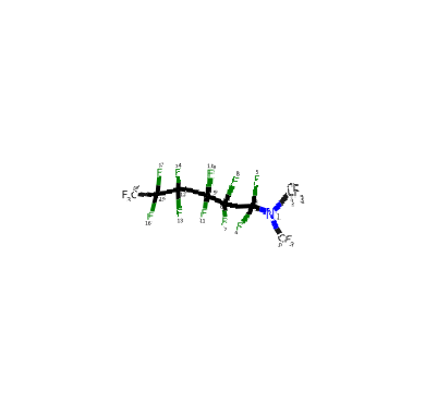 FC(F)(F)N(C(F)(F)F)C(F)(F)C(F)(F)C(F)(F)C(F)(F)C(F)(F)C(F)(F)F